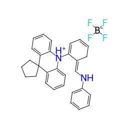 C1=CCC(=CNc2ccccc2)C([NH+]2c3ccccc3C3(CCCC3)c3ccccc32)=C1.F[B-](F)(F)F